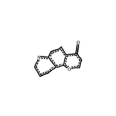 O=c1ccoc2c1ccc1ncccc12